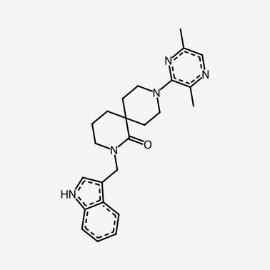 Cc1cnc(C)c(N2CCC3(CCCN(Cc4c[nH]c5ccccc45)C3=O)CC2)n1